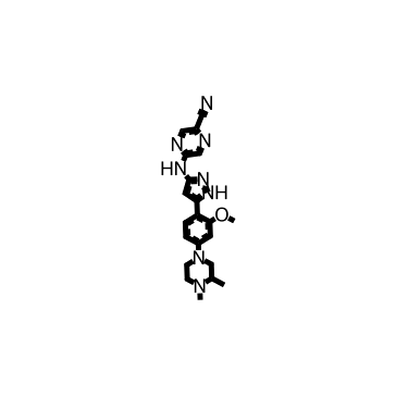 COc1cc(N2CCN(C)C(C)C2)ccc1-c1cc(Nc2cnc(C#N)cn2)n[nH]1